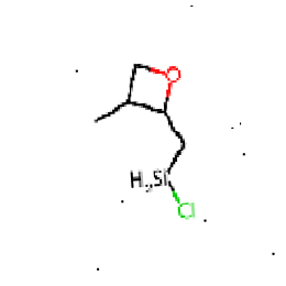 CC1COC1C[SiH2]Cl